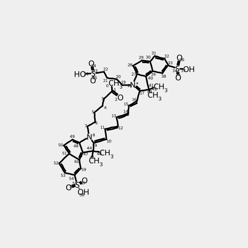 CC(=O)CCCCCN1\C(=C/C=C/C=C/C=C/C2=[N+](CCCCS(=O)(=O)O)c3ccc4ccc(S(=O)(=O)O)cc4c3C2(C)C)C(C)(C)c2c1ccc1ccc(S(=O)(=O)O)cc21